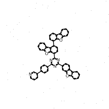 c1cncc(-c2ccc(-c3nc(-c4ccc5c(c4)oc4ccccc45)nc(-c4ccc(-c5cccc6c5oc5ccccc56)c5c4oc4ccccc45)n3)cc2)c1